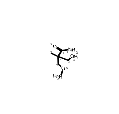 CC(CO)(CON)C(N)=O